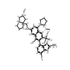 CC[C@H]1CCCN1c1nc(OC[C@@]23CCCN2C[C@H](F)C3)nc2c(F)c(-c3ccc(F)c4sc(N)nc34)c(C(F)(F)F)cc12